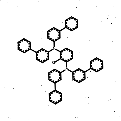 Clc1c(N(c2cccc(-c3ccccc3)c2)c2cccc(-c3ccccc3)c2)cccc1N(c1cccc(-c2ccccc2)c1)c1cccc(-c2ccccc2)c1